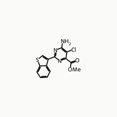 COC(=O)c1nc(-c2csc3ccccc23)nc(N)c1Cl